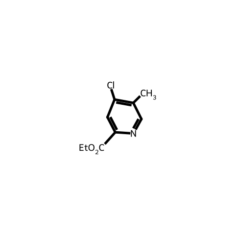 CCOC(=O)c1cc(Cl)c(C)cn1